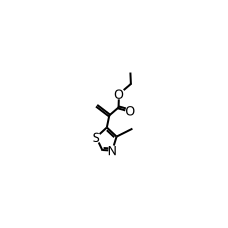 C=C(C(=O)OCC)c1scnc1C